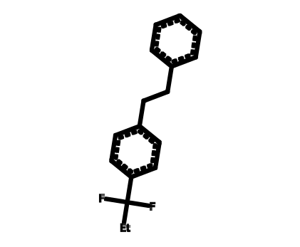 CCC(F)(F)c1ccc(CCc2ccccc2)cc1